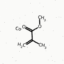 C=C(C)C(=O)OC.[Co]